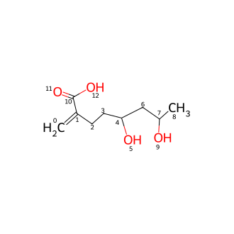 C=C(CCC(O)CC(C)O)C(=O)O